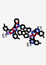 CCn1c2ccc(C)cc2c2cc(N(c3ccccc3)c3ccc4c(c3)C3(c5cc(N(c6ccccc6)c6ccc7c(c6)c6cc(C)ccc6n7CC)ccc5-4)c4cc(N(c5ccccc5)c5ccc6c(c5)c5cc(C)ccc5n6CC)ccc4-c4ccc(N(c5ccccc5)c5ccc6c(c5)c5cc(C)ccc5n6CC)cc43)ccc21